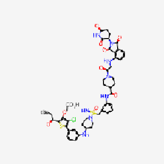 CC(C)(C)CC(=O)c1sc(-c2cccc(NC3CCN(S(=N)(=O)Cc4cccc(NC(=O)C5CCN(C(=O)CNc6cccc7c6C(=O)N(C6CCC(=O)NC6=O)C7=O)CC5)c4)CC3)c2)c(Cl)c1OCC(=O)O